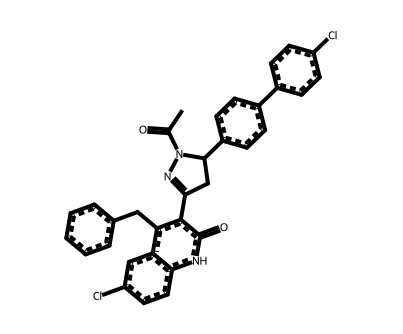 CC(=O)N1N=C(c2c(Cc3ccccc3)c3cc(Cl)ccc3[nH]c2=O)CC1c1ccc(-c2ccc(Cl)cc2)cc1